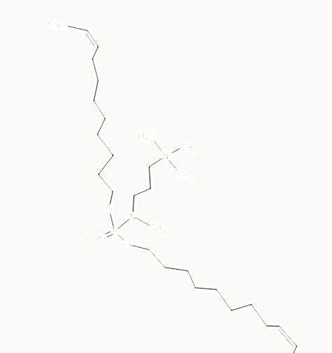 CCCCCCCC/C=C\CCCCCCCCOP(=O)(OCCCCCCCC/C=C\CCCCCCCC)N(C)CCC[N+](C)(C)C.[I-]